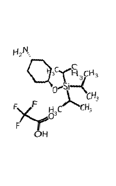 CC(C)[Si](O[C@H]1CC[C@H](N)CC1)(C(C)C)C(C)C.O=C(O)C(F)(F)F